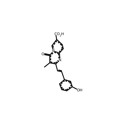 Cc1c(C=Cc2cccc(O)c2)nc2ccc(C(=O)O)cn2c1=O